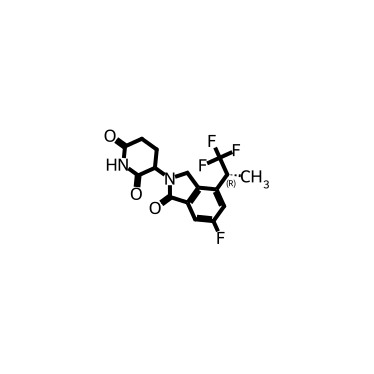 C[C@H](c1cc(F)cc2c1CN(C1CCC(=O)NC1=O)C2=O)C(F)(F)F